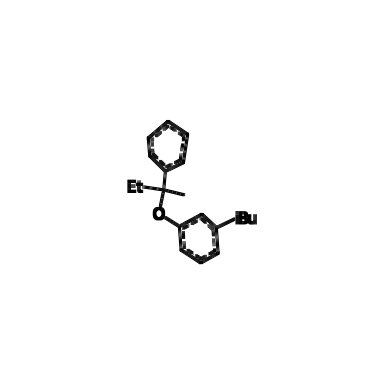 CCC(C)c1cccc(OC(C)(CC)c2ccccc2)c1